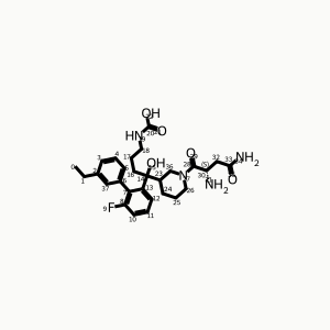 CCc1cccc(-c2c(F)cccc2C(O)(CCCNC(=O)O)C2CCCN(C(=O)[C@@H](N)CC(N)=O)C2)c1